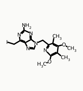 COc1nc(Cn2cnc3c(CI)nc(N)nc32)c(C)c(OC)c1C